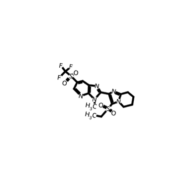 CCS(=O)(=O)c1c(-c2nc3cc(S(=O)(=O)C(F)(F)F)cnc3n2C)nc2n1CCCC2